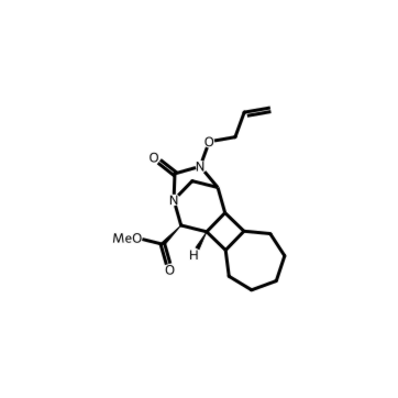 C=CCON1C(=O)N2CC1C1C3CCCCCC3[C@@H]1[C@H]2C(=O)OC